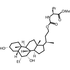 CC[C@H]1[C@@H](O)[C@@H]2[C@H](CC[C@]3(C)C([C@H](C)CCOC(=O)N[C@H](C(=O)OC)C(C)C)CC[C@@H]23)[C@@]2(C)CC[C@@H](O)C[C@@H]12